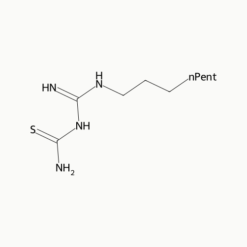 CCCCCCCCNC(=N)NC(N)=S